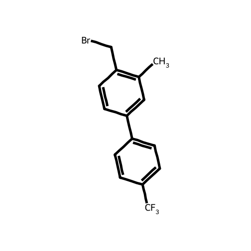 Cc1cc(-c2ccc(C(F)(F)F)cc2)ccc1CBr